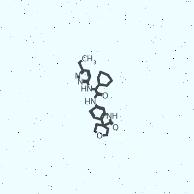 CCc1ccc(NC(C(=O)Nc2ccc3c(c2)NC(=O)C32CCOCC2)C2CCCCC2)nn1